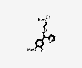 CCN(CC)CCON=C(c1ccc(OC)c(Cl)c1)c1ccco1